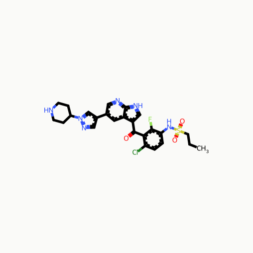 CCCS(=O)(=O)Nc1ccc(Cl)c(C(=O)c2c[nH]c3ncc(-c4cnn(C5CCNCC5)c4)cc23)c1F